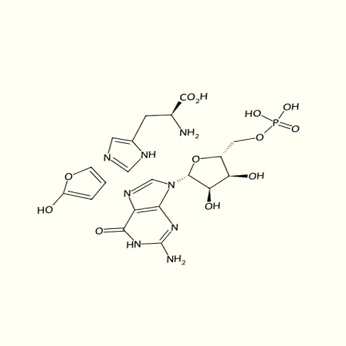 N[C@@H](Cc1cnc[nH]1)C(=O)O.Nc1nc2c(ncn2[C@@H]2O[C@H](COP(=O)(O)O)[C@@H](O)[C@H]2O)c(=O)[nH]1.Oc1ccco1